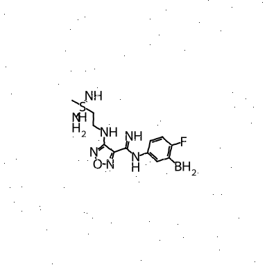 Bc1cc(NC(=N)c2nonc2NCC[SH](C)(=N)N)ccc1F